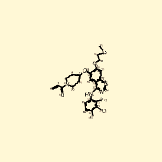 C=CC(=O)N1CCC(Oc2cc3c(Nc4ccc(F)c(Cl)c4F)ncnc3cc2OCCOC)CC1